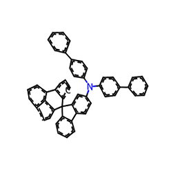 c1ccc(-c2ccc(N(c3ccc(-c4ccccc4)cc3)c3ccc4c(c3)C3(c5ccccc5-4)c4ccccc4-c4cccc5cccc3c45)cc2)cc1